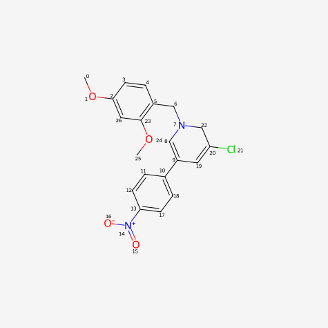 COc1ccc(CN2C=C(c3ccc([N+](=O)[O-])cc3)C=C(Cl)C2)c(OC)c1